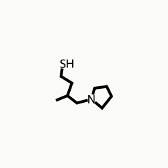 CC(CCS)CN1CCCC1